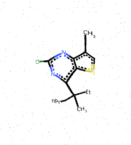 CCCC(C)(CC)c1nc(Cl)nc2c(C)csc12